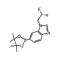 CC1(C)OB(c2ccc3nnn(CC(F)F)c3c2)OC1(C)C